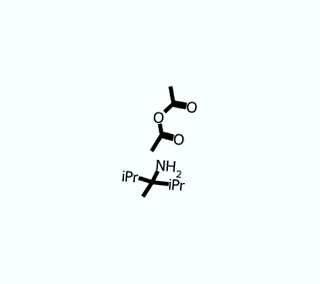 CC(=O)OC(C)=O.CC(C)C(C)(N)C(C)C